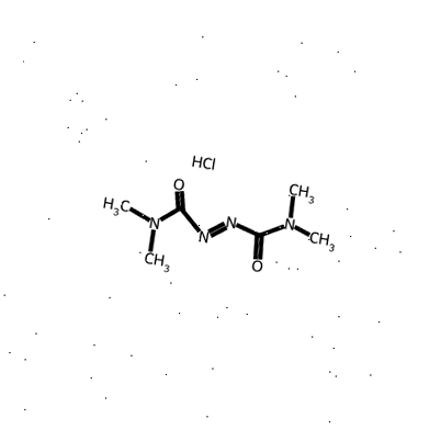 CN(C)C(=O)N=NC(=O)N(C)C.Cl